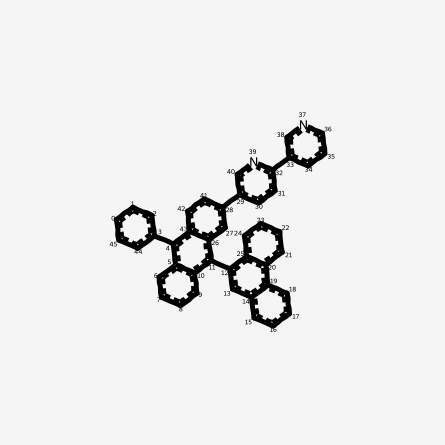 c1ccc(-c2c3ccccc3c(-c3cc4ccccc4c4ccccc34)c3cc(-c4ccc(-c5cccnc5)nc4)ccc23)cc1